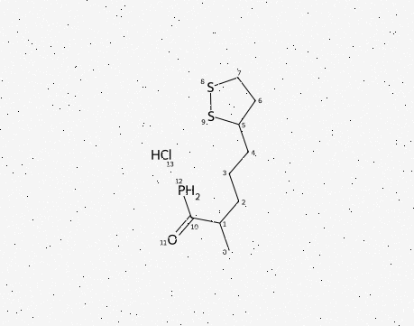 CC(CCCC1CCSS1)C(=O)P.Cl